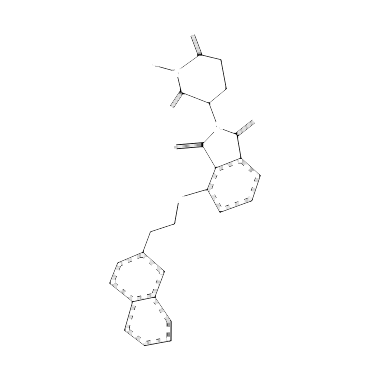 NN1C(=O)CCC(N2C(=O)c3cccc(OCCc4ccc5ccccc5c4)c3C2=O)C1=O